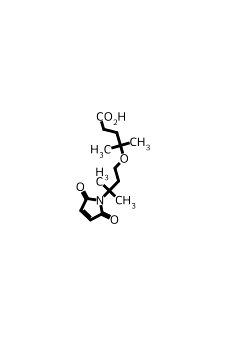 CC(C)(CCC(=O)O)OCCC(C)(C)N1C(=O)C=CC1=O